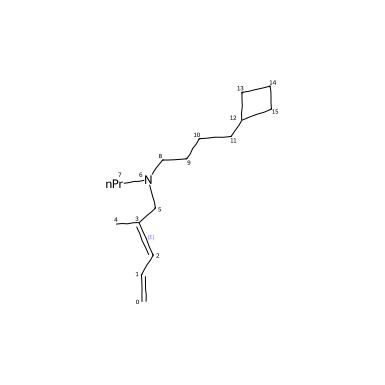 C=C/C=C(\C)CN(CCC)CCCCC1CCC1